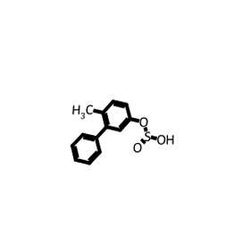 Cc1ccc(OS(=O)O)cc1-c1ccccc1